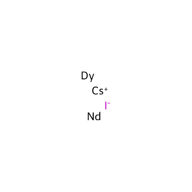 [Cs+].[Dy].[I-].[Nd]